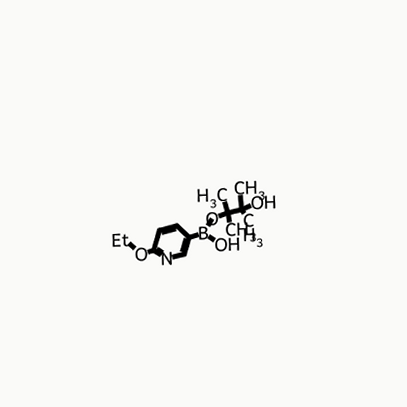 CCOc1ccc(B(O)OC(C)(C)C(C)(C)O)cn1